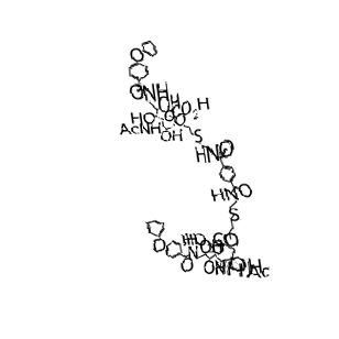 CC(=O)N[C@H]1[C@H]([C@H](O)[C@H](O)CNC(=O)c2ccc(Oc3ccccc3)cc2)O[C@@](OCCCSCCNC(=O)c2ccc(C(=O)NCCSCCCO[C@]3(C(=O)O)C[C@H](O)[C@@H](NC(C)=O)[C@H]([C@H](O)[C@H](O)CNC(=O)c4ccc(Oc5ccccc5)cc4)O3)cc2)(C(=O)O)C[C@@H]1O